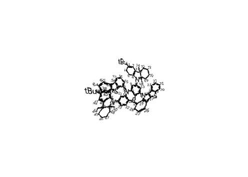 CC(C)(C)C1=CC2=C(CC1)N(c1cc3c4c(c1)-n1c5c(c6sc7ccccc7c61)C=CCC5B4c1ccc(N4c5ccc(C(C)(C)C)cc5C5(C)CCCCC45C)cc1N3c1cccc3c1sc1ccccc13)C1(C)CCCCC21C